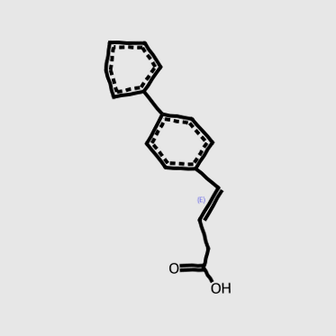 O=C(O)C/C=C/c1ccc(-c2ccccc2)cc1